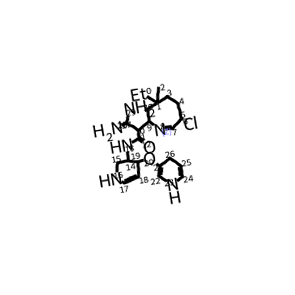 CCC1(C)CCC(Cl)/C=N\C(C(C(=O)NC2CNC=CC2OC2=CNC=CC2)C(N)N)C1